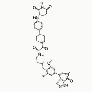 COc1cc(-c2cn(C)c(=O)c3[nH]ncc23)cc(F)c1CN1CCN(C(=O)C(=O)N2CCC(c3ccc(NC4CCC(=O)NC4=O)cc3)CC2)CC1